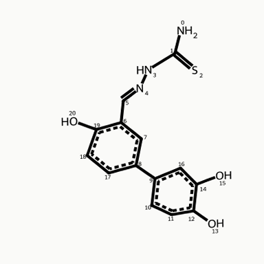 NC(=S)NN=Cc1cc(-c2ccc(O)c(O)c2)ccc1O